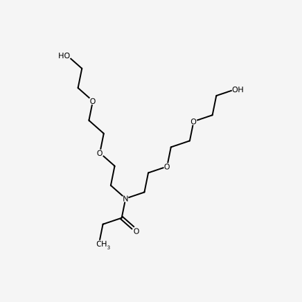 CCC(=O)N(CCOCCOCCO)CCOCCOCCO